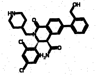 NC(=O)[C@@H]1c2cc(-c3ccccc3CO)ccc2C(=O)N(CC2CCNCC2)[C@H]1c1ccc(Cl)cc1Cl